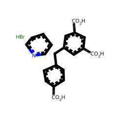 Br.O=C(O)c1ccc(Cc2cc(C(=O)O)cc(C(=O)O)c2)cc1.c1ccncc1